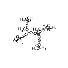 C=C(C)C(=O)OCCOCc1ccc(C(c2ccc(-c3ccc(N(c4ccc(COCCOC(=O)C(=C)C)cc4)c4ccc(COCCOC(=O)C(=C)C)c(C)c4)cc3)cc2)c2ccc(COCCOC(=O)C(=C)C)c(C)c2)cc1